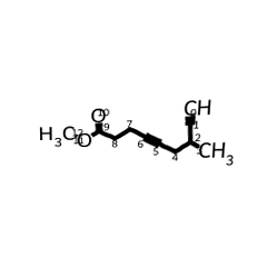 C#CC(C)CC#CCCC(=O)OC